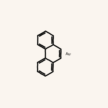 [Au].c1ccc2c(c1)ccc1ccccc12